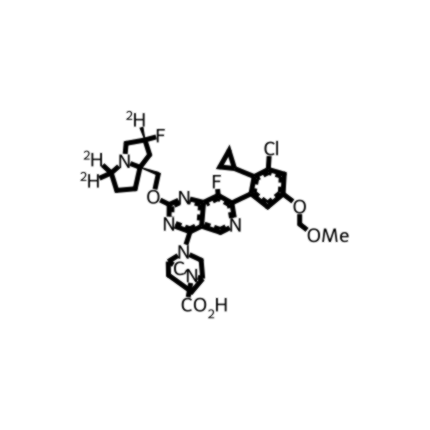 [2H]C1([2H])CC[C@@]2(COc3nc(N4CC5CCC4CN5C(=O)O)c4cnc(-c5cc(OCOC)cc(Cl)c5C5CC5)c(F)c4n3)C[C@@]([2H])(F)CN12